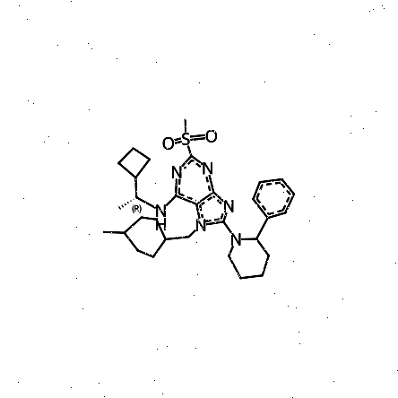 CC1CCC(Cn2c(N3CCCCC3c3ccccc3)nc3nc(S(C)(=O)=O)nc(N[C@H](C)C4CCC4)c32)CC1